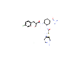 CN1CCc2nc(C(=O)N[C@@H]3C[C@@H](C(=O)N(C)C)CC[C@@H]3NC(=O)C3=Cc4ccc(Cl)cc4OC3)sc2C1.Cl